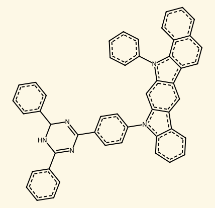 c1ccc(C2=NC(c3ccc(-n4c5ccccc5c5cc6c7ccc8ccccc8c7n(-c7ccccc7)c6cc54)cc3)=NC(c3ccccc3)N2)cc1